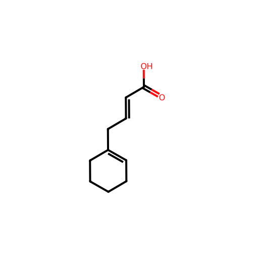 O=C(O)C=CCC1=CCCCC1